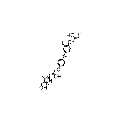 Cc1c(CO)nnn1C[C@@H](O)COc1ccc(C(C)(C)c2ccc(OC[C@@H](O)CCl)c(I)c2)cc1